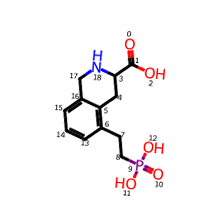 O=C(O)C1Cc2c(CCP(=O)(O)O)cccc2CN1